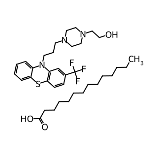 CCCCCCCCCCCCCC(=O)O.OCCN1CCN(CCCN2c3ccccc3Sc3ccc(C(F)(F)F)cc32)CC1